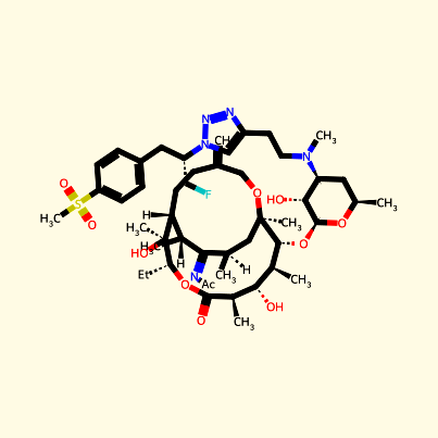 C=C1CC[C@@H]2[C@@H](C)/C(=N/C(C)=O)[C@H](C)C[C@@](C)(OC1)[C@H](O[C@@H]1O[C@H](C)C[C@H](N(C)CCc3cn([C@H](CF)Cc4ccc(S(C)(=O)=O)cc4)nn3)[C@H]1O)[C@@H](C)[C@H](O)[C@@H](C)C(=O)O[C@H](CC)[C@@]2(C)O